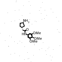 COc1cc(NC(=O)C[C@@H]2CC[C@@H](N)C2)cc(OC)c1OC